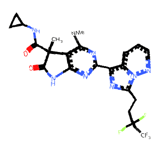 CNc1nc(-c2nc(CCC(F)(F)C(F)(F)F)n3ncccc23)nc2c1C(C)(C(=O)NC1CC1)C(=O)N2